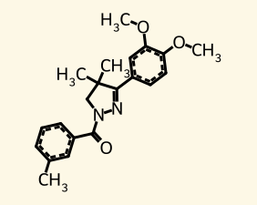 COc1ccc(C2=NN(C(=O)c3cccc(C)c3)CC2(C)C)cc1OC